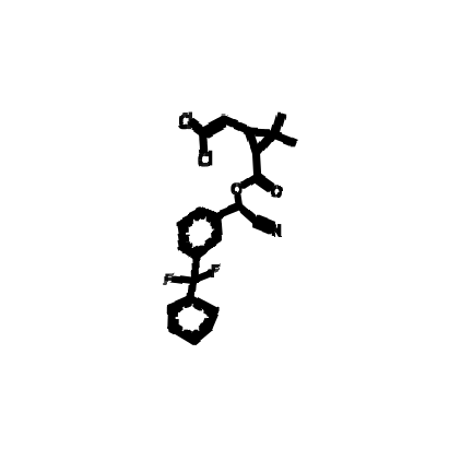 CC1(C)C(C=C(Cl)Cl)C1C(=O)OC(C#N)c1cccc(C(F)(F)c2ccccc2)c1